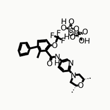 Cc1c(-c2ccccc2)ccc(OC(F)(F)F)c1C(=O)Nc1ccc(N2C[C@@H](C)O[C@@H](C)C2)nc1.O=P(O)(O)OP(=O)(O)O